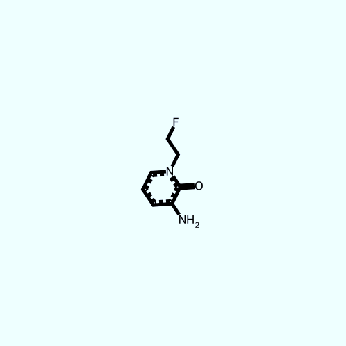 Nc1cccn(CCF)c1=O